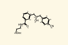 CCCCCCCCCCCCNC(=O)c1cccc(CN(O)Cc2ccc(C#N)cc2)c1